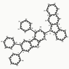 c1ccc(-c2cc3oc4nc(-n5c6ccccc6c6cc7ccccc7cc65)nc(-c5ccccc5)c4c3cc2-c2ccccc2)cc1